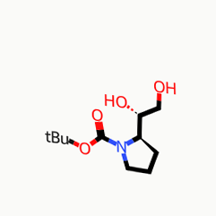 CC(C)(C)OC(=O)N1CCC[C@@H]1[C@H](O)CO